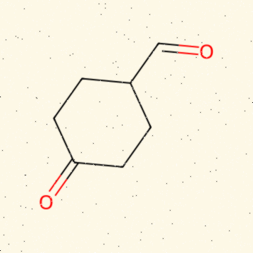 O=CC1CCC(=O)CC1